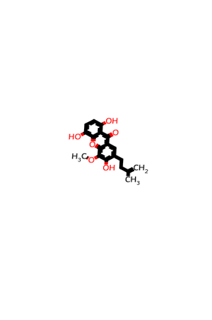 C=C(C)CCc1cc2c(=O)c3c(O)ccc(O)c3oc2c(OC)c1O